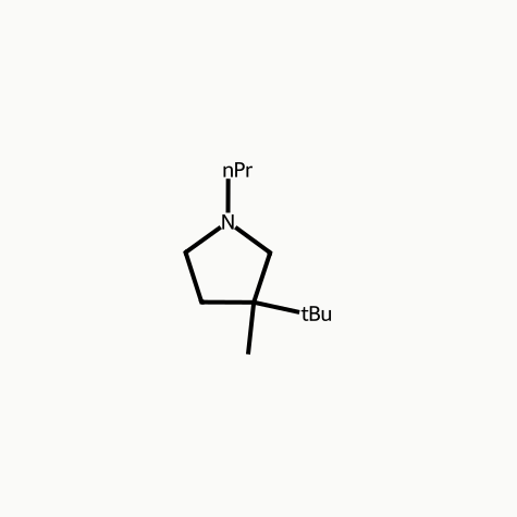 CCCN1CCC(C)(C(C)(C)C)C1